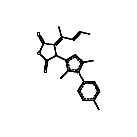 CC=C/C(C)=C1/C(=O)OC(=O)C1c1cc(C)n(-c2ccc(C)cc2)c1C